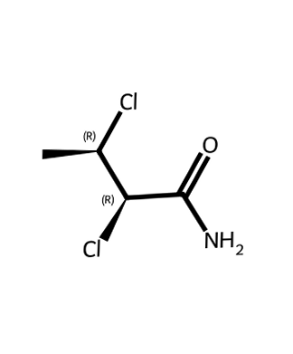 C[C@@H](Cl)[C@H](Cl)C(N)=O